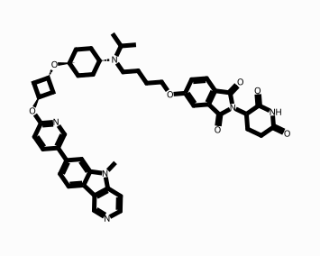 CC(C)N(CCCCOc1ccc2c(c1)C(=O)N(C1CCC(=O)NC1=O)C2=O)[C@H]1CC[C@H](O[C@H]2C[C@H](Oc3ccc(-c4ccc5c6cnccc6n(C)c5c4)cn3)C2)CC1